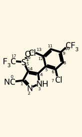 N#Cc1n[nH]c(-c2c(Cl)cc(C(F)(F)F)cc2Cl)c1[S+]([O-])C(F)(F)F